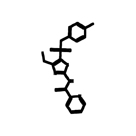 CCc1nc(NC(=O)c2ccccn2)sc1S(=O)(=O)Cc1ccc(C)cc1